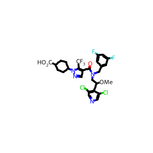 COC(CN(Cc1cc(F)cc(F)c1)C(=O)c1cnn(C2CCC(C(=O)O)CC2)c1C(F)(F)F)c1c(Cl)cncc1Cl